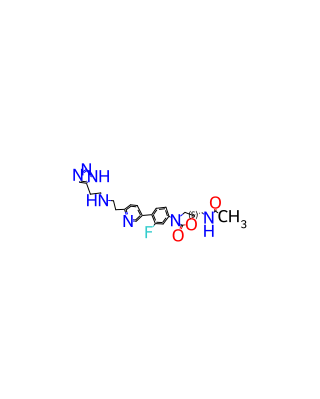 CC(=O)NC[C@H]1CN(c2ccc(-c3ccc(CCNCCc4cnn[nH]4)nc3)c(F)c2)C(=O)O1